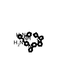 NC(NC(c1ccccc1)[C@@H](N)c1ccc(-n2c3ccccc3c3cc(-c4cccc5c4sc4c(-c6ccccc6)cccc45)ccc32)cc1)c1ccccc1